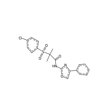 CC(C)(C(=O)Nc1nc(-c2ccccc2)co1)S(=O)(=O)c1ccc(Cl)cc1